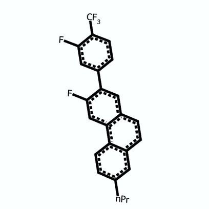 CCCc1ccc2c(ccc3cc(-c4ccc(C(F)(F)F)c(F)c4)c(F)cc32)c1